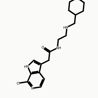 O=C(Cc1c[nH]c2c(Cl)nccc12)NCCNCC1CCCCC1